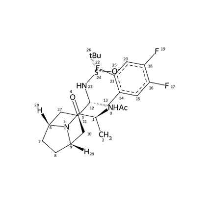 CC(=O)N[C@@H](C)C(=O)N1[C@@H]2CC[C@H]1C[C@H]([C@@H](Cc1cc(F)c(F)cc1F)N[S@@+]([O-])C(C)(C)C)C2